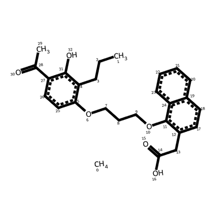 C.CCCc1c(OCCCOc2c(CC(=O)O)ccc3ccccc23)ccc(C(C)=O)c1O